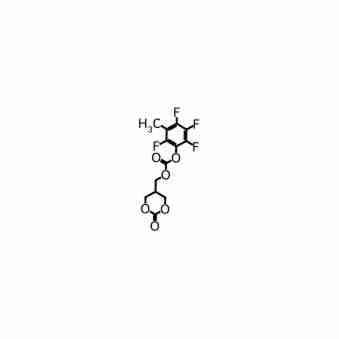 Cc1c(F)c(F)c(F)c(OC(=O)OCC2COC(=O)OC2)c1F